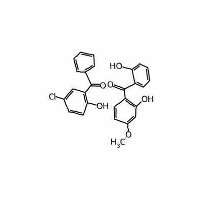 COc1ccc(C(=O)c2ccccc2O)c(O)c1.O=C(c1ccccc1)c1cc(Cl)ccc1O